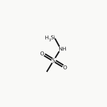 CS(=O)(=O)N[SiH3]